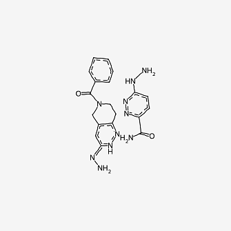 N/N=c1/cc2c(n[nH]1)CCN(C(=O)c1ccccc1)C2.NNc1ccc(C(N)=O)nn1